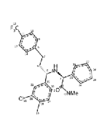 CNC(=O)[C@@H](N[C@@H](CCc1ccc(C(F)(F)F)cc1)c1ccc(C)c(Cl)c1)c1ccccc1